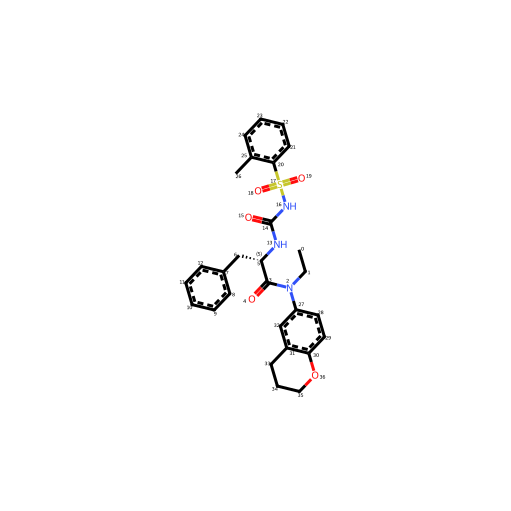 CCN(C(=O)[C@H](Cc1ccccc1)NC(=O)NS(=O)(=O)c1ccccc1C)c1ccc2c(c1)CCCO2